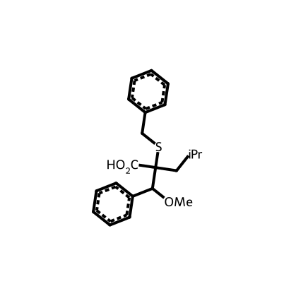 COC(c1ccccc1)C(CC(C)C)(SCc1ccccc1)C(=O)O